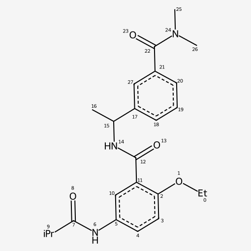 CCOc1ccc(NC(=O)C(C)C)cc1C(=O)NC(C)c1cccc(C(=O)N(C)C)c1